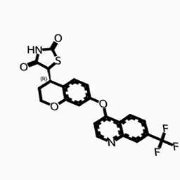 O=C1NC(=O)C([C@@H]2CCOc3cc(Oc4ccnc5cc(C(F)(F)F)ccc45)ccc32)S1